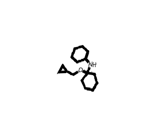 C1CCC(NC2(OCC3CC3)CCCCC2)CC1